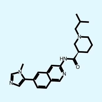 CC(C)CN1CCC[C@@H](C(=O)Nc2cc3cc(-c4cncn4C)ccc3cn2)C1